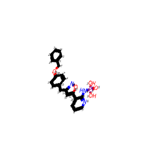 O=P(O)(O)Nc1ncccc1-c1cc(Cc2ccc(OCc3ccccc3)cc2)no1